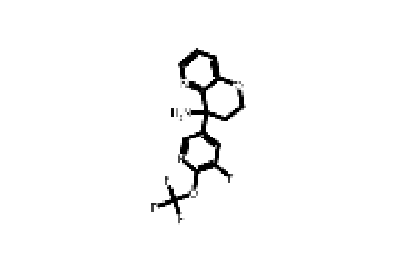 NC1(c2cnc(OC(F)(F)F)c(F)c2)CCOc2cccnc21